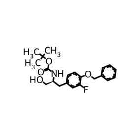 CC(C)(C)OC(=O)N[C@H](CO)Cc1ccc(OCc2ccccc2)c(F)c1